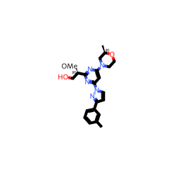 CO[C@@H](CO)c1nc(N2CCO[C@H](C)C2)cc(-n2ccc(-c3cccc(C)c3)n2)n1